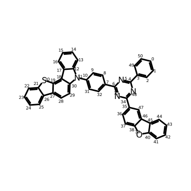 c1ccc(-c2nc(-c3ccc(-n4c5ccccc5c5c6sc7ccccc7c6ccc54)cc3)nc(-c3ccc4oc5ccccc5c4c3)n2)cc1